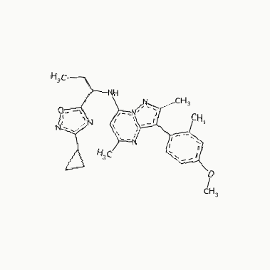 CCC(Nc1cc(C)nc2c(-c3ccc(OC)cc3C)c(C)nn12)c1nc(C2CC2)no1